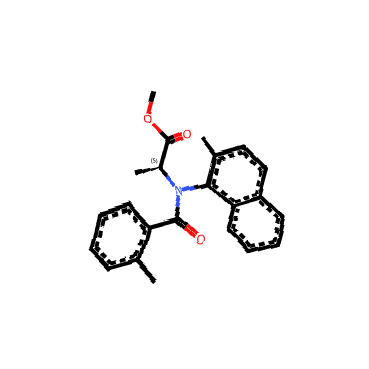 COC(=O)[C@H](C)N(C(=O)c1ccccc1C)c1c(C)ccc2ccccc12